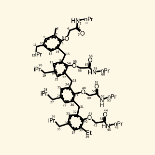 CCCNC(=O)COc1c(C)cc(CC(C)C)cc1Cc1cc(CC(C)C)cc(Cc2cc(CC(C)C)cc(Cc3cc(CC(C)C)cc(CC)c3OCC(=O)NCCC)c2OCC(=O)NCCC)c1OCC(=O)NCCC